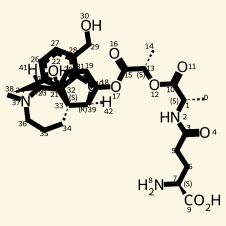 C[C@H](NC(=O)CC[C@H](N)C(=O)O)C(=O)O[C@@H](C)C(=O)OC1=CC[C@@]2(O)[C@H]3Cc4ccc(CO)c5c4[C@@]2(CCCN3C)[C@H]1O5